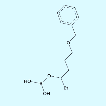 CCC(CCCOCc1ccccc1)OB(O)O